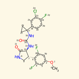 COc1cc(F)c([C@@H]2CNC(=O)[C@H]2NC(=O)NC2(c3ccc(F)c(Cl)c3)CC2)c(F)c1